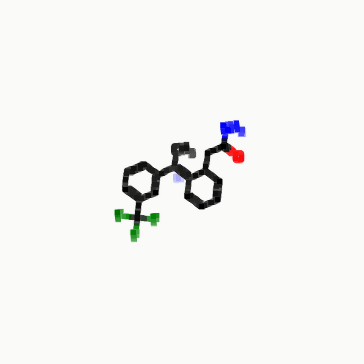 C/C(=C1/C=CC=CC1CC(N)=O)c1cccc(C(F)(F)F)c1